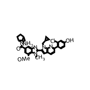 COc1cc(C(=O)N2CC3CCC2C3N)cc2nc(-c3cc4ccc(-c5ccc(O)cc5Cl)nc4n3CC3CC3)n(C)c12